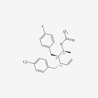 C=C[C@H](Cc1ccc(C(F)(F)F)cc1)[C@@H](Cc1ccc(F)cc1)[C@H](C)OC(=O)C(F)(F)F